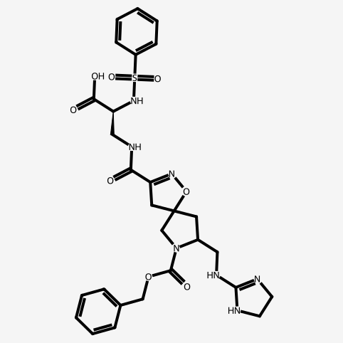 O=C(NC[C@H](NS(=O)(=O)c1ccccc1)C(=O)O)C1=NOC2(C1)CC(CNC1=NCCN1)N(C(=O)OCc1ccccc1)C2